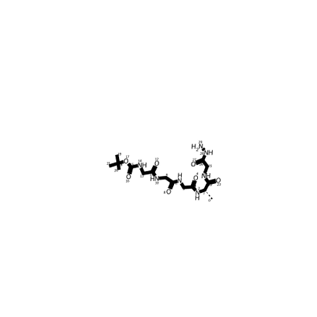 C[C@H](NC(=O)CNC(=O)CNC(=O)CNC(=O)OC(C)(C)C)C(=O)NCC(=O)NN